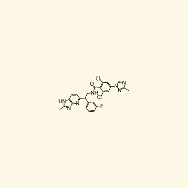 Cc1ncn(-c2cc(Cl)c(C(=O)NCC(c3cccc(F)c3)c3ccc4[nH]c(C)nc4n3)c(Cl)c2)n1